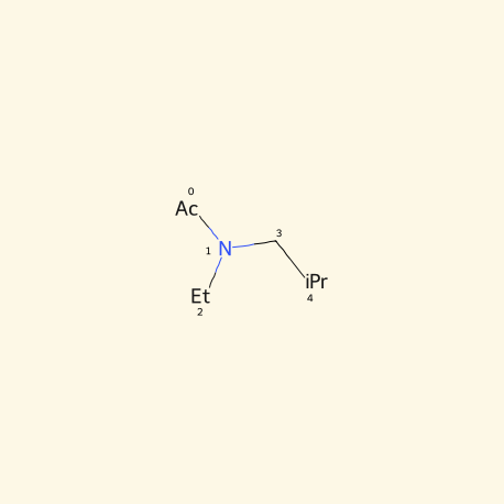 [CH2]C(=O)N(CC)CC(C)C